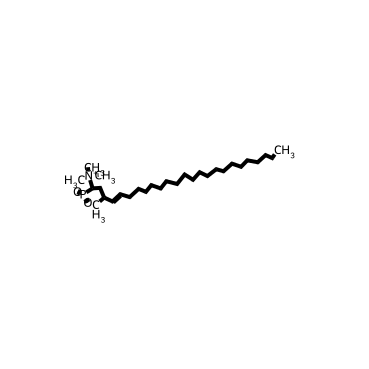 CCCCCCCCCCCCCCCCCCCCC=CC(C)CC(P(=O)=O)[N+](C)(C)C